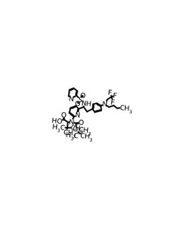 CCCCN(CC(F)(F)F)c1ccc(CC(NS(=O)(=O)c2ccccn2)c2cccc(N(C(=O)OC(C)(C)C)C(C(=O)O)C(C)(C)C)n2)cc1